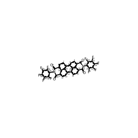 O=C1c2ccc3c4ccc5c6c(ccc(c7ccc(c2c37)C(=O)N1c1c(F)c(F)c(F)c(F)c1F)c64)C(=O)N(c1c(F)c(F)c(F)c(F)c1F)C5=O